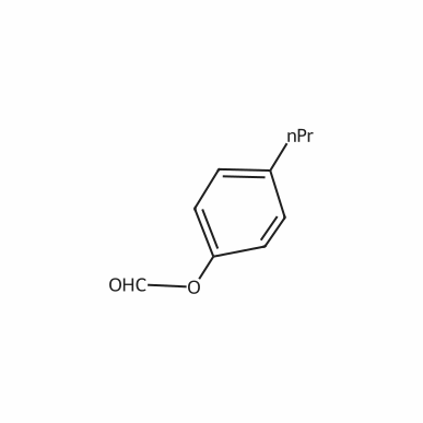 CCCc1ccc(OC=O)cc1